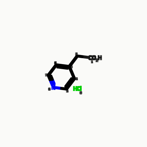 Cl.O=C(O)Cc1ccncc1